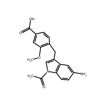 COc1cc(C(=O)O)ccc1Cc1cn(C(C)=O)c2ccc(N)cc12